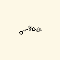 CCC[CH2][Sn]([CH2]CCC)([CH2]CCC)[c]1ccc(S(=O)(=O)NCCOCc2ccccc2)cc1